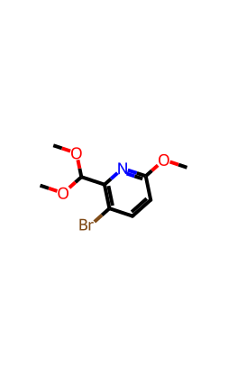 COc1ccc(Br)c(C(OC)OC)n1